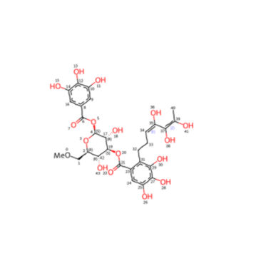 COC[C@H]1O[C@@H](OC(=O)c2cc(O)c(O)c(O)c2)[C@H](O)[C@@H](OC(=O)c2cc(O)c(O)c(O)c2CC/C=C(O)\C(O)=C(/C)O)[C@@H]1O